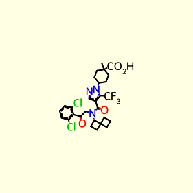 CC1(C(=O)O)CCC(n2ncc(C(=O)N(CC(=O)c3c(Cl)cccc3Cl)[C@H]3CCC34CCC4)c2C(F)(F)F)CC1